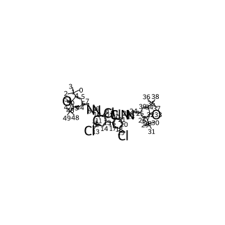 CC(C)(C)C1=CC(=C/N=N/c2cc(Cl)cc(-c3cc(Cl)cc(/N=N/C=C4C=C(C(C)(C)C)C(=O)C(C(C)(C)C)=C4)c3Cl)c2Cl)C=C(C(C)(C)C)C1=O